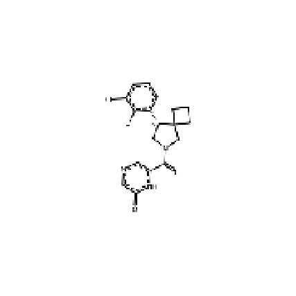 O=C(c1cncc(=O)[nH]1)N1C[C@H](c2cccc(Cl)c2F)C2(CCC2)C1